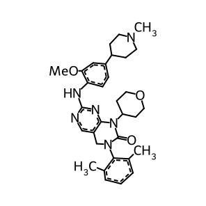 COc1cc(C2CCN(C)CC2)ccc1Nc1ncc2c(n1)N(C1CCOCC1)C(=O)N(c1c(C)cccc1C)C2